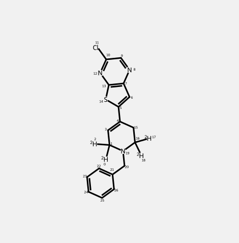 [2H]C1([2H])C=C(c2cc3ncc(Cl)nc3s2)CC([2H])([2H])N1Cc1ccccc1